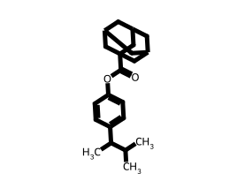 CC(C)C(C)c1ccc(OC(=O)C23CC4CC(CC(C4)C2)C3)cc1